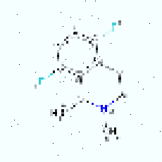 CC1c2c(F)ccc(F)c2CCN1C